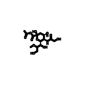 COC(CO)C(O)[C@@H]1OC(O)(C(=O)OC(C)=O)C[C@H](O)[C@H]1NC(=O)CO